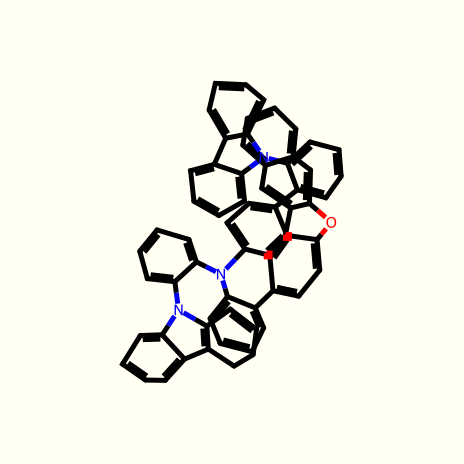 C1=Cc2c(c3ccccc3n2-c2ccccc2N(c2ccc(-c3ccccc3-n3c4ccccc4c4ccccc43)cc2)c2ccccc2-c2ccc3oc4cc5ccccc5cc4c3c2)CC1